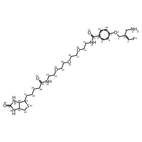 NC/C(=C\F)COc1ccc(C(=O)NCCOCCOCCOCCNC(=O)CCCCC2SCC3NC(=O)NC32)cc1